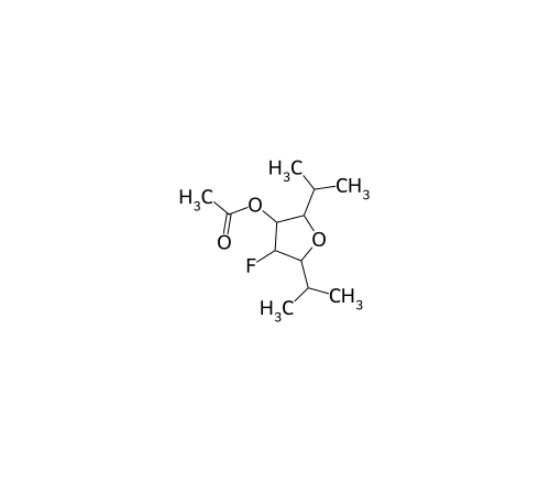 CC(=O)OC1C(F)C(C(C)C)OC1C(C)C